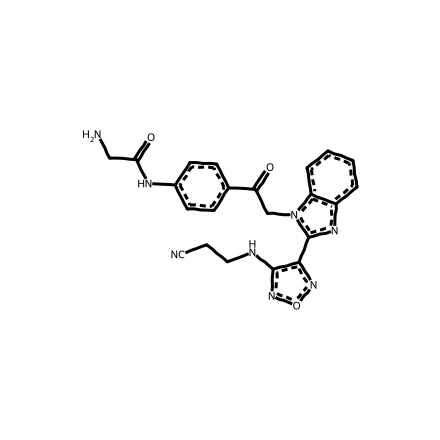 N#CCCNc1nonc1-c1nc2ccccc2n1CC(=O)c1ccc(NC(=O)CN)cc1